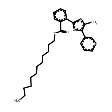 CCCCCCCCCCCCOC(=O)c1ccccc1-c1nc(C)c(-c2cccnc2)o1